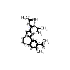 CC(=N)/N=C(\NC(C)C)c1cn2c(n1)-c1cc(C(C)=O)c(C)cc1OCC2